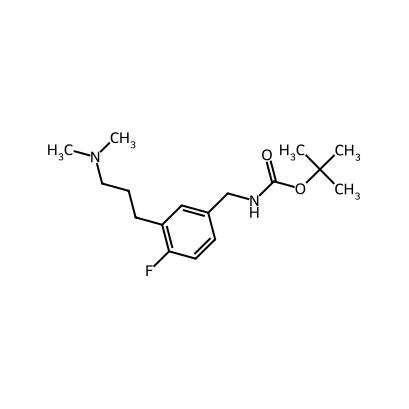 CN(C)CCCc1cc(CNC(=O)OC(C)(C)C)ccc1F